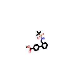 COC(=O)c1ccc(-c2ccccc2CNS(=O)(=O)C(C)(C)C)cc1